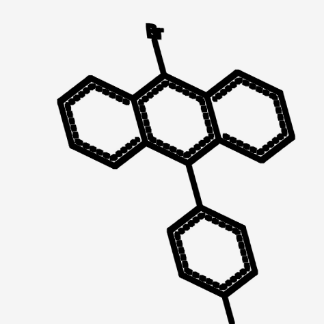 Brc1c2ccccc2c(-c2ccc(I)cc2)c2ccccc12